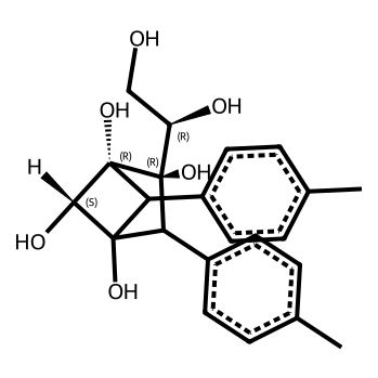 Cc1ccc(C2C3(O)C(c4ccc(C)cc4)[C@@](O)([C@H]3O)[C@]2(O)[C@H](O)CO)cc1